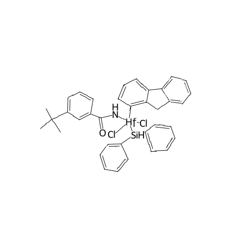 CC(C)(C)c1cccc(C(=O)[NH][Hf]([Cl])([Cl])([c]2cccc3c2Cc2ccccc2-3)[SiH](c2ccccc2)c2ccccc2)c1